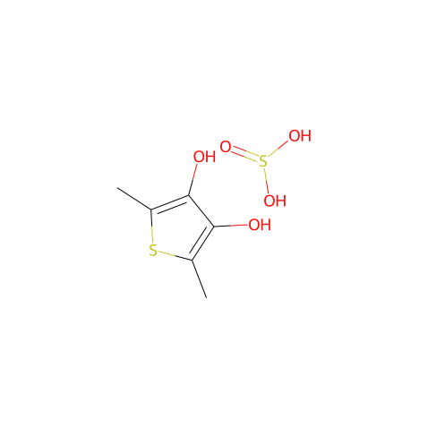 Cc1sc(C)c(O)c1O.O=S(O)O